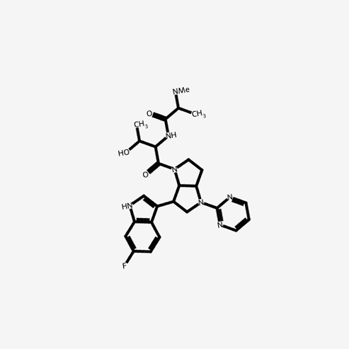 CNC(C)C(=O)NC(C(=O)N1CCC2C1C(c1c[nH]c3cc(F)ccc13)CN2c1ncccn1)C(C)O